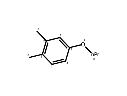 [CH2]CCOc1ccc(C)c(C)c1